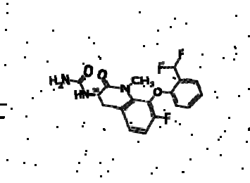 CN1C(=O)[C@H](NC(N)=O)Cc2ccc(F)c(Oc3ccccc3C(F)F)c21